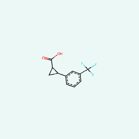 O=C(O)C1CC1c1cccc(C(F)(F)F)c1